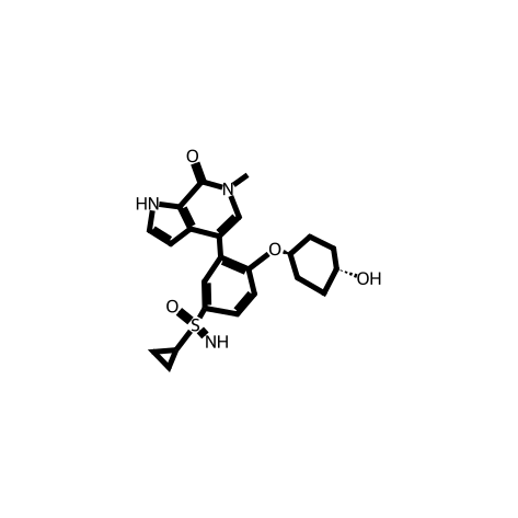 Cn1cc(-c2cc(S(=N)(=O)C3CC3)ccc2O[C@H]2CC[C@@H](O)CC2)c2cc[nH]c2c1=O